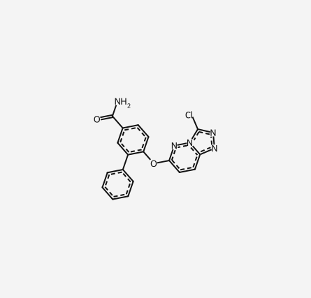 NC(=O)c1ccc(Oc2ccc3nnc(Cl)n3n2)c(-c2ccccc2)c1